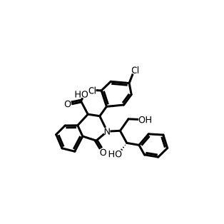 O=C(O)C1c2ccccc2C(=O)N(C(CO)[C@@H](O)c2ccccc2)C1c1ccc(Cl)cc1Cl